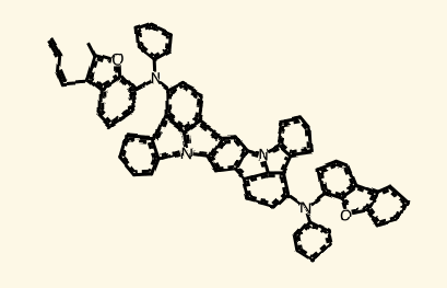 C=C/C=C\c1c(C)oc2c(N(c3ccccc3)c3ccc4c5cc6c(cc5n5c7ccccc7c3c45)c3ccc(N(c4ccccc4)c4cccc5c4oc4ccccc45)c4c5ccccc5n6c34)cccc12